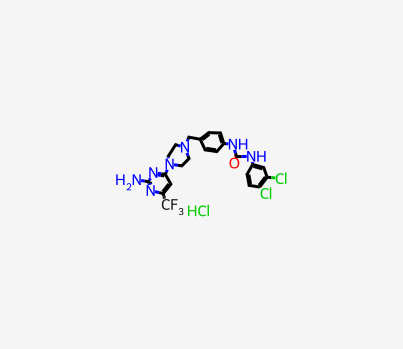 Cl.Nc1nc(N2CCN(Cc3ccc(NC(=O)Nc4ccc(Cl)c(Cl)c4)cc3)CC2)cc(C(F)(F)F)n1